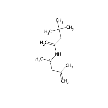 C=C(C)CN(C)NC(=C)CC(C)(C)C